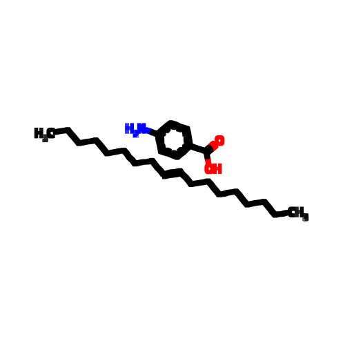 CCCCCCCCC=CCCCCCCCC.Nc1ccc(C(=O)O)cc1